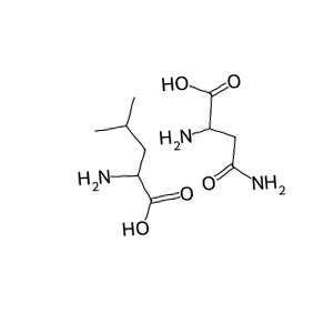 CC(C)CC(N)C(=O)O.NC(=O)CC(N)C(=O)O